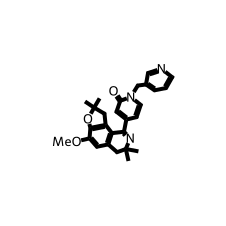 COc1cc2c(c3c1OC(C)(C)C3)C(c1ccn(Cc3cccnc3)c(=O)c1)=NC(C)(C)C2